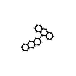 c1ccc2cc3cc(-c4c5ccccc5cc5ccccc45)ccc3cc2c1